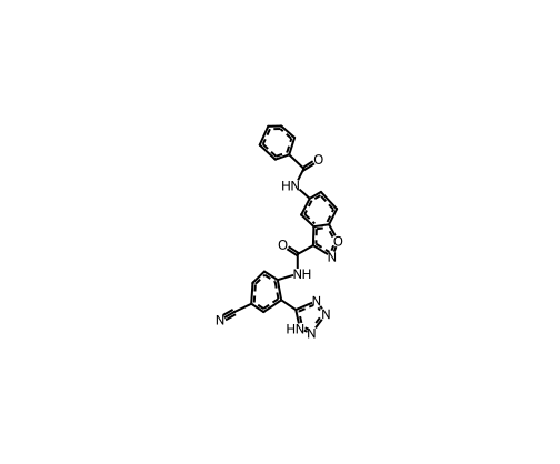 N#Cc1ccc(NC(=O)c2noc3ccc(NC(=O)c4ccccc4)cc23)c(-c2nnn[nH]2)c1